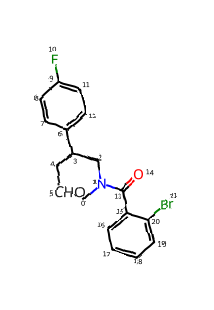 CN(CC(CC=O)c1ccc(F)cc1)C(=O)c1ccccc1Br